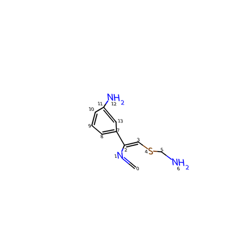 C=N/C(=C\SCN)c1cccc(N)c1